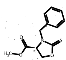 COC(=O)[C@@H]1COC(=S)N1Cc1ccccc1